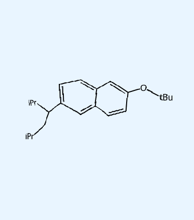 CC(C)CC(c1ccc2cc(OC(C)(C)C)ccc2c1)C(C)C